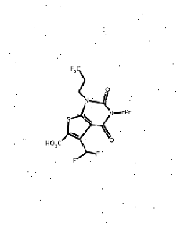 CCCn1c(=O)c2c(C(F)F)c(C(=O)O)sc2n(CCC(F)(F)F)c1=O